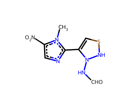 Cn1c([N+](=O)[O-])cnc1C1=CSNN1NC=O